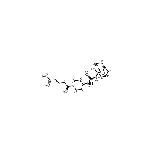 O=C(O)CCCC(=O)N1CCC(NC(=O)NC23CC4CC(CC(C4)C2)C3)CC1